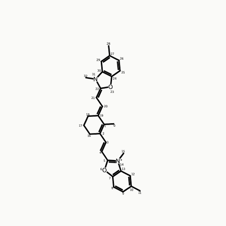 CC1=C(C=Cc2oc3ccc(C)cc3[n+]2C)CCCC1=CC=C1Oc2ccc(C)cc2N1C